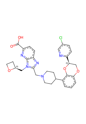 O=C(O)c1ccc2nc(CN3CCC(c4cccc5c4O[C@@H](c4ccc(Cl)cn4)CO5)CC3)n(C[C@@H]3CCO3)c2n1